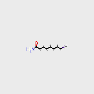 NC(=O)CCCCCCCI